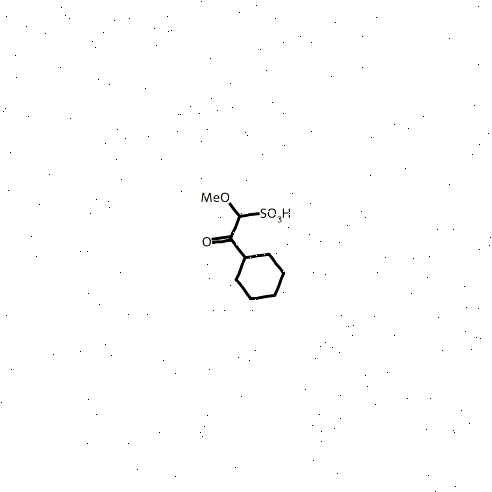 COC(C(=O)C1CCCCC1)S(=O)(=O)O